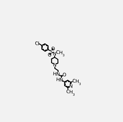 Cc1cc(NC(=O)NCCN2CCC(N(C)S(=O)(=O)c3ccc(Cl)cc3)CC2)cc(C)n1